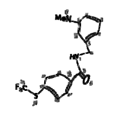 CNc1cccc(CNC(=O)c2ccc(SC(F)(F)F)cc2)c1